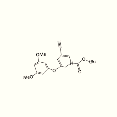 [C]#CC1=CN(C(=O)OC(C)(C)C)CC(Oc2cc(OC)cc(OC)c2)=C1